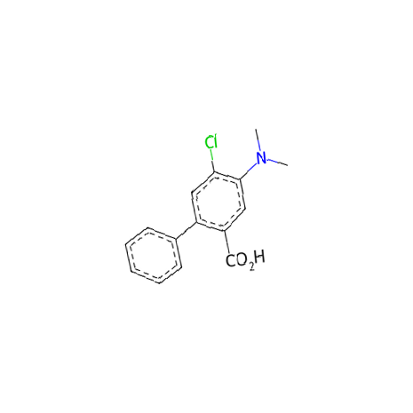 CN(C)c1cc(C(=O)O)c(-c2ccccc2)cc1Cl